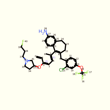 C=C/C(=C\C=C(/C)C1=C(Cc2ccc(OC(F)(F)F)cc2Cl)CCCc2cc(N)ccc21)OC1CCN(CCCF)C1